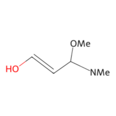 CNC(C=CO)OC